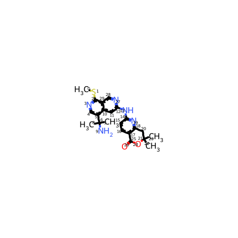 CSc1ncc(C(C)(C)N)c2cc(Nc3ccc4c(n3)CC(C)(C)OC4=O)ncc12